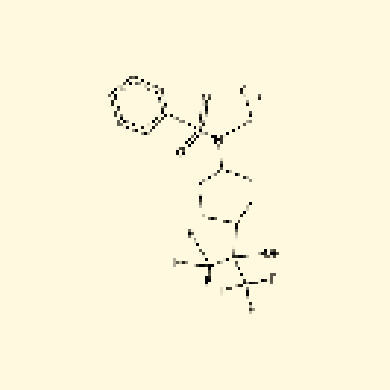 CCN(C1CCC(C(O)(C(F)(F)F)C(F)(F)F)CC1)S(=O)(=O)c1ccccc1